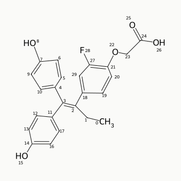 CCC(=C(c1ccc(O)cc1)c1ccc(O)cc1)c1ccc(OCC(=O)O)c(F)c1